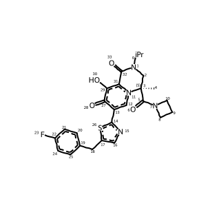 CC(C)N1C[C@@](C)(C(=O)N2CCC2)n2cc(-c3ncc(Cc4ccc(F)cc4)s3)c(=O)c(O)c2C1=O